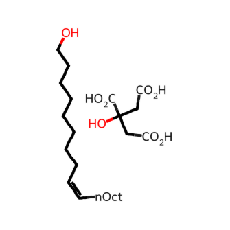 CCCCCCCC/C=C\CCCCCCCCO.O=C(O)CC(O)(CC(=O)O)C(=O)O